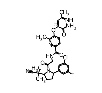 CC(=N)/C=C(/Oc1ccc(C(=O)NCC(=O)N2C(c3cc(F)cc(Cl)c3)CCC2C(C)(C)C#N)nc1C)C(N)=O